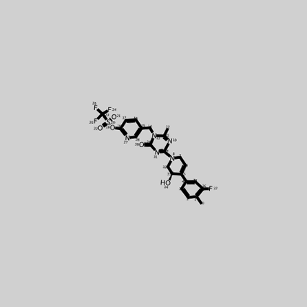 Cc1ccc(C2=CCN(c3nc(C)n(Cc4ccc(OS(=O)(=O)C(F)(F)F)nc4)c(=O)n3)C[C@@H]2O)cc1F